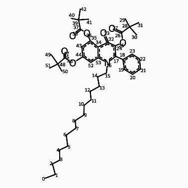 CCCCCCCCCCCCCCCCn1c(-c2ccccc2)c(OC(=O)C(C)(C)C)c(=O)c2c(OC(=O)C(C)(C)C)cc(OC(=O)C(C)(C)C)cc21